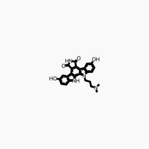 CN(C)CCCn1c2ccc(O)cc2c2c3c(c4c5cc(O)ccc5[nH]c4c21)C(=O)NC3=O